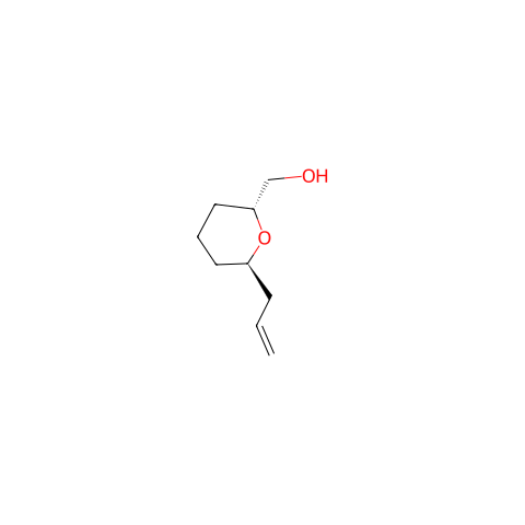 C=CC[C@H]1CCC[C@H](CO)O1